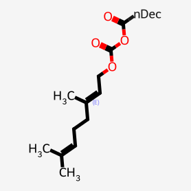 CCCCCCCCCCC(=O)OC(=O)OC/C=C(\C)CCC=C(C)C